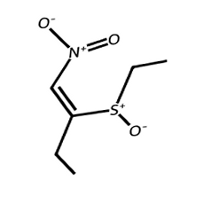 CCC(=C[N+](=O)[O-])[S+]([O-])CC